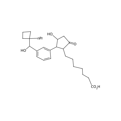 CCCC1(C(O)c2cccc(C3C(O)CC(=O)C3CCCCCCC(=O)O)c2)CCC1